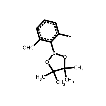 CC1(C)OB(c2c(F)cccc2C=O)OC1(C)C